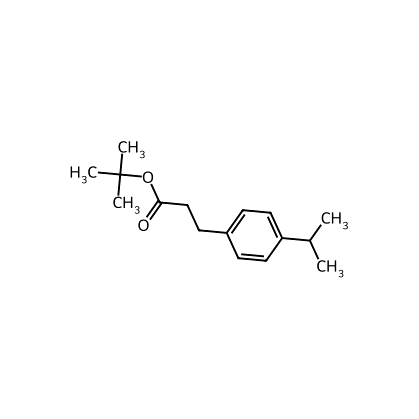 CC(C)c1ccc(CCC(=O)OC(C)(C)C)cc1